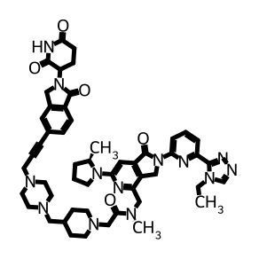 CCn1cnnc1-c1cccc(N2Cc3c(cc(N4CCC[C@H]4C)nc3CN(C)C(=O)CN3CCC(CN4CCN(CC#Cc5ccc6c(c5)CN(C5CCC(=O)NC5=O)C6=O)CC4)CC3)C2=O)n1